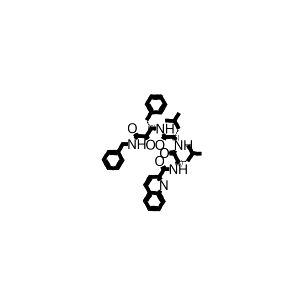 CC(C)C[C@H](NC(=O)c1ccc2ccccc2n1)C(=O)N[C@@H](CC(C)C)C(=O)N[C@@H](Cc1ccccc1)C(=O)C(=O)NCc1ccccc1